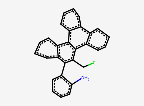 Nc1ccccc1-c1c(CCl)c2c3ccccc3c3ccccc3c2c2ccccc12